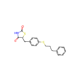 O=C1NC(=O)C(Cc2ccc(SCCCc3ccccc3)cc2)S1